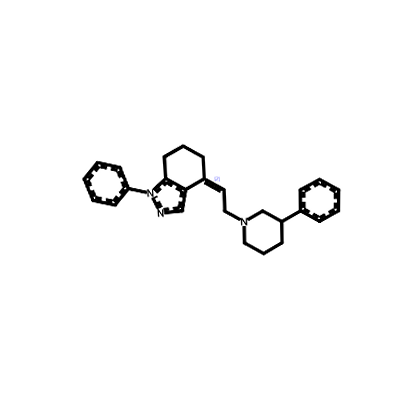 C(/CN1CCCC(c2ccccc2)C1)=C1\CCCc2c1cnn2-c1ccccc1